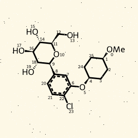 CO[C@H]1CC[C@@H](Oc2cc([C@@H]3O[C@H](CO)[C@@H](O)[C@H](O)[C@H]3O)ccc2Cl)CC1